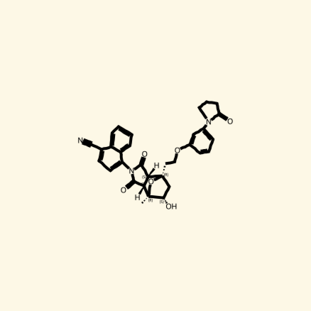 C[C@]12O[C@](CCOc3cccc(N4CCCC4=O)c3)(C[C@@H]1O)[C@H]1C(=O)N(c3ccc(C#N)c4ccccc34)C(=O)[C@H]12